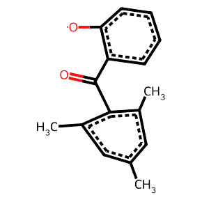 Cc1cc(C)c(C(=O)c2ccccc2[O])c(C)c1